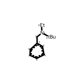 CCN(Cc1ccccc1)C(C)(C)C